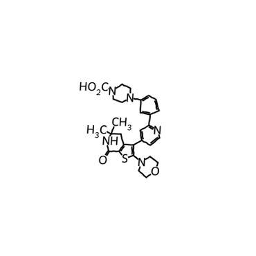 CC1(C)Cc2c(sc(N3CCOCC3)c2-c2ccnc(-c3cccc(N4CCN(C(=O)O)CC4)c3)c2)C(=O)N1